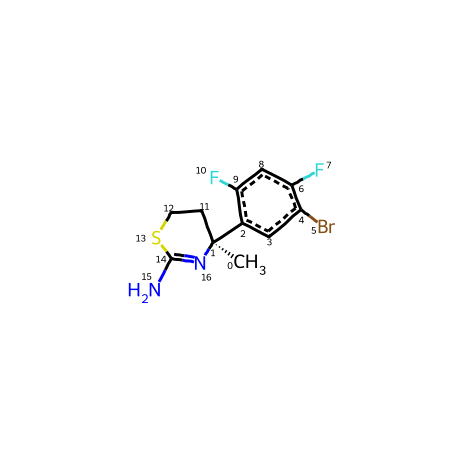 C[C@@]1(c2cc(Br)c(F)cc2F)CCSC(N)=N1